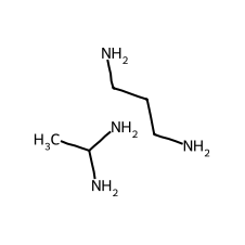 CC(N)N.NCCCN